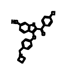 O=C(c1ccc(Cl)cc1)c1sc2cc(O)ccc2c1Oc1ccc(CN2CCC2)cc1